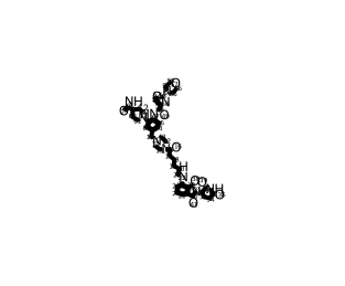 NC(=O)C1CCN(c2cc(CN3CCN(C(=O)CCCCCNc4cccc5c4C(=O)N(C4CCC(=O)NC4=O)C5=O)CC3)ccc2NC(=O)c2coc(N3CCOCC3)n2)CC1